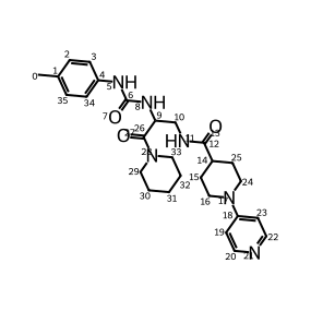 Cc1ccc(NC(=O)NC(CNC(=O)C2CCN(c3ccncc3)CC2)C(=O)N2CCCCC2)cc1